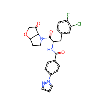 O=C(NC(Cc1ccc(Cl)c(Cl)c1)C(=O)N1CCC2OCC(=O)C21)c1ccc(-n2cccn2)cc1